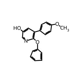 COc1ccc(-c2cc(O)cnc2Oc2ccccc2)cc1